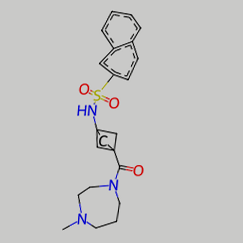 CN1CCCN(C(=O)C23CC(NS(=O)(=O)c4ccc5ccccc5c4)(C2)C3)CC1